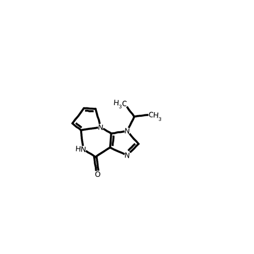 CC(C)n1cnc2c(=O)[nH]c3cccn3c21